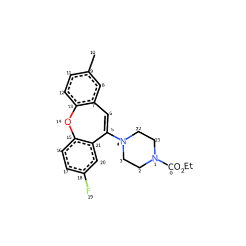 CCOC(=O)N1CCN(C2=Cc3cc(C)ccc3Oc3ccc(F)cc32)CC1